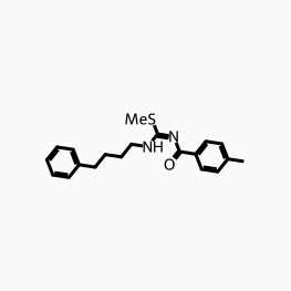 CSC(=NC(=O)c1ccc(C)cc1)NCCCCc1ccccc1